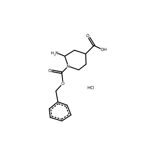 Cl.NC1CC(C(=O)O)CCN1C(=O)OCc1ccccc1